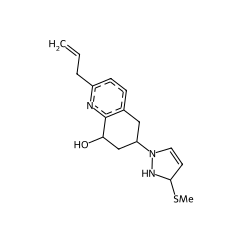 C=CCc1ccc2c(n1)C(O)CC(N1C=CC(SC)N1)C2